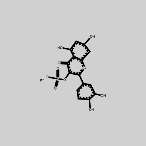 O=c1c(OS(=O)(=O)[O-])c(-c2ccc(O)c(O)c2)oc2cc(O)cc(O)c12.[K+]